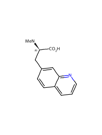 CN[C@H](Cc1ccc2cccnc2c1)C(=O)O